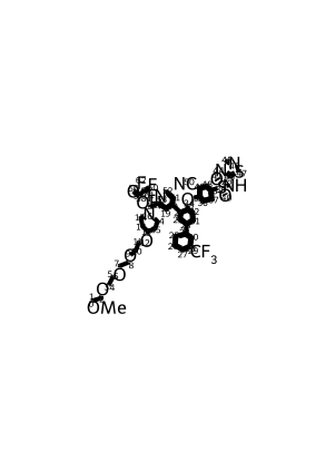 COCCOCCOCCOCCOC1CCN(Cc2cc(-c3cc(-c4cccc(C(F)(F)F)c4)ccc3Oc3ccc(S(=O)(=O)Nc4ncns4)cc3C#N)ccn2)CC1.O=C(O)C(F)(F)F